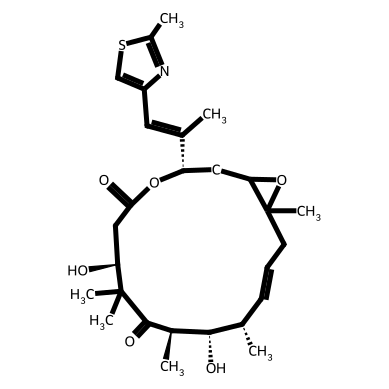 C/C(=C\c1csc(C)n1)[C@@H]1CC2OC2(C)C/C=C/[C@H](C)[C@H](O)[C@@H](C)C(=O)C(C)(C)[C@@H](O)CC(=O)O1